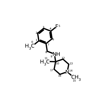 Cc1ccc(F)cc1CNC1(C)CCN(C)CC1